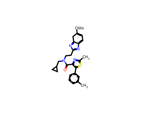 COC1=CC=C2N=C(CCN(CC3CC3)C(=O)c3nc(C)sc3-c3cccc(C)c3)N=C2C1